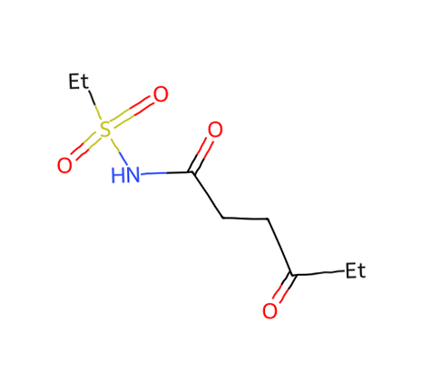 CCC(=O)CCC(=O)NS(=O)(=O)CC